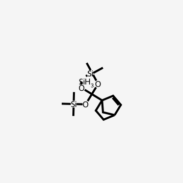 C[Si](C)(C)OC(O[SiH3])(O[Si](C)(C)C)C12C=CC(CC1)C2